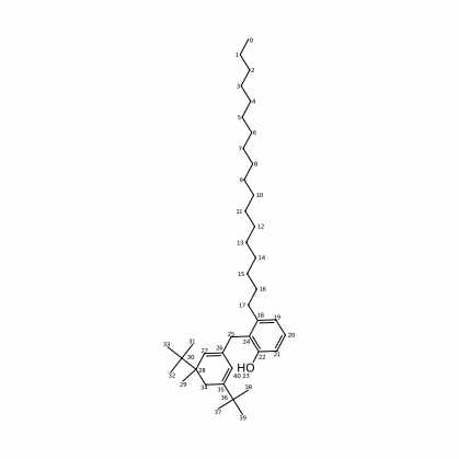 CCCCCCCCCCCCCCCCCCc1cccc(O)c1CC1=CC(C)(C(C)(C)C)CC(C(C)(C)C)=C1